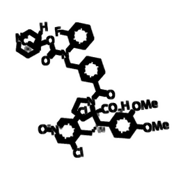 COc1ccc([C@H](Cc2c(Cl)c[n+]([O-])cc2Cl)[C@]2(C(=O)O)CCCN2C(=O)c2cccc(CN(C(=O)O[C@H]3CN4CCC3CC4)c3ccccc3F)c2)cc1OC